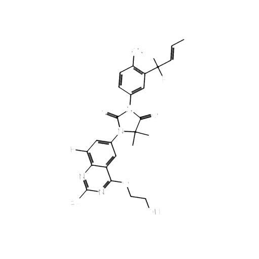 C/C=C/C(F)(F)c1cc(N2C(=O)C(C)(C)N(c3cc(F)c4nc(CC)nc(OCCO)c4c3)C2=S)ccc1C#N